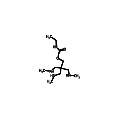 CCNC(=O)OCC(CNC)(CNC)CNC